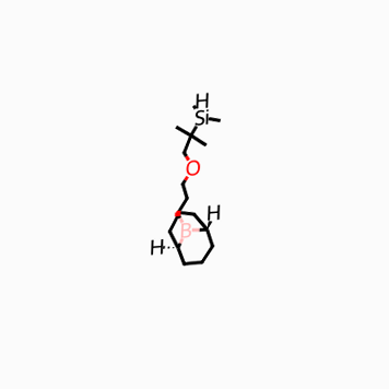 C[SiH](C)C(C)(C)COCCCB1[C@H]2CCC[C@H]1CCC2